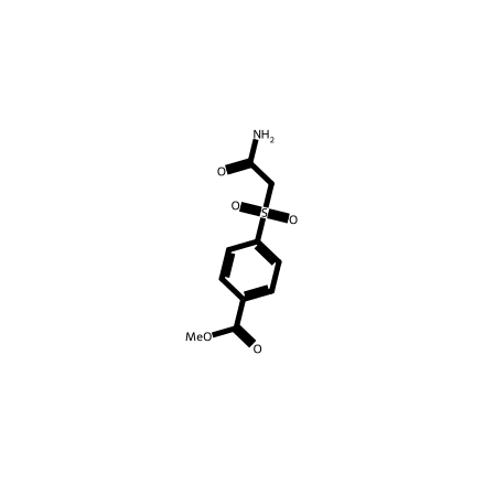 COC(=O)c1ccc(S(=O)(=O)CC(N)=O)cc1